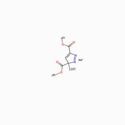 CCCOC(=O)C1=CC(C(=O)[O-])(C(=O)OCCC)N=N1.[Na+]